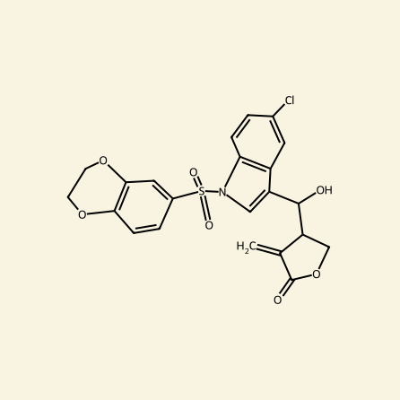 C=C1C(=O)OCC1C(O)c1cn(S(=O)(=O)c2ccc3c(c2)OCCO3)c2ccc(Cl)cc12